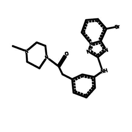 CN1CCN(C(=O)Cc2cccc(Nc3nc4c(Br)cccn4n3)c2)CC1